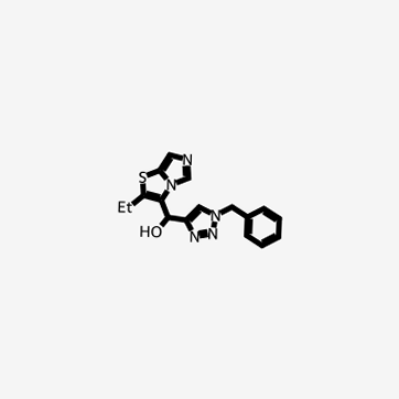 CCc1sc2cncn2c1C(O)c1cn(Cc2ccccc2)nn1